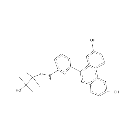 CC(C)(O)C(C)(C)OBc1cccc(-c2cc3ccc(O)cc3c3ccc(O)cc23)c1